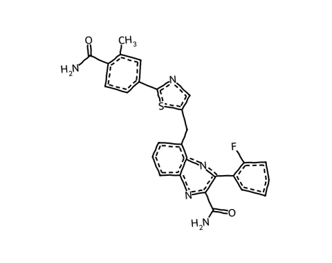 Cc1cc(-c2ncc(Cc3cccc4nc(C(N)=O)c(-c5ccccc5F)nc34)s2)ccc1C(N)=O